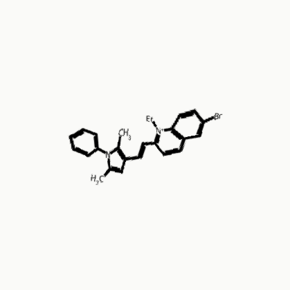 CC[n+]1c(/C=C/c2cc(C)n(-c3ccccc3)c2C)ccc2cc(Br)ccc21